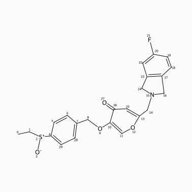 CC[S+]([O-])c1ccc(COc2coc(CN3Cc4ccc(F)cc4C3)cc2=O)cc1